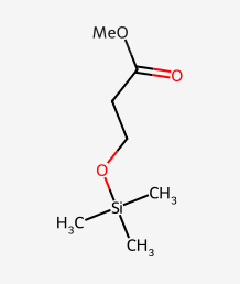 COC(=O)CCO[Si](C)(C)C